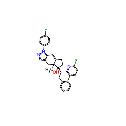 CC12Cc3cnn(-c4ccc(F)cc4)c3C=C1CC[C@@]2(O)CCc1ccccc1-c1ccc(F)nc1